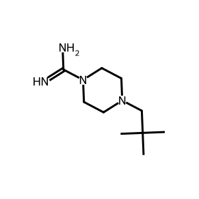 CC(C)(C)CN1CCN(C(=N)N)CC1